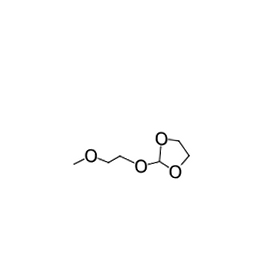 COCCOC1OCCO1